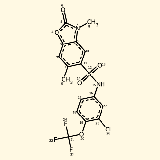 Cc1cc2oc(=O)n(C)c2cc1S(=O)(=O)Nc1ccc(OC(F)(F)F)c(Cl)c1